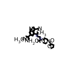 C=N/C(=C\C=C(/C)c1cc(-c2cnn(C)c2)cn2ncc(C#N)c12)N1CCN(C(=O)[C@@H]2CCCO2)CC1